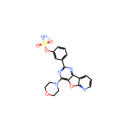 NS(=O)(=O)Oc1cccc(-c2nc(N3CCOCC3)c3oc4ncccc4c3n2)c1